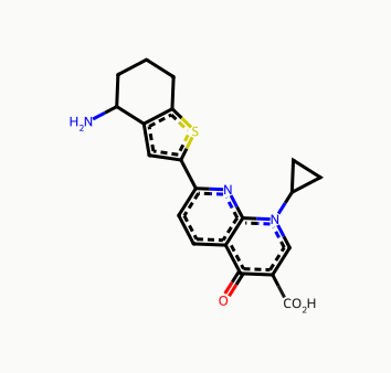 NC1CCCc2sc(-c3ccc4c(=O)c(C(=O)O)cn(C5CC5)c4n3)cc21